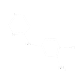 Nc1cc(Nc2ccncn2)ccc1Cl